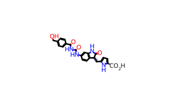 O=C(NC(=O)c1ccc(CO)cc1)Nc1ccc2c(c1)NC(=O)/C2=C\c1ccc(C(=O)O)[nH]1